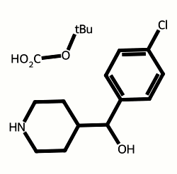 CC(C)(C)OC(=O)O.OC(c1ccc(Cl)cc1)C1CCNCC1